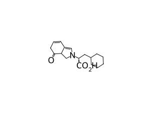 O=C1CC=CC2=CN([C@@H](CC3CCCCC3)C(=O)O)CC12